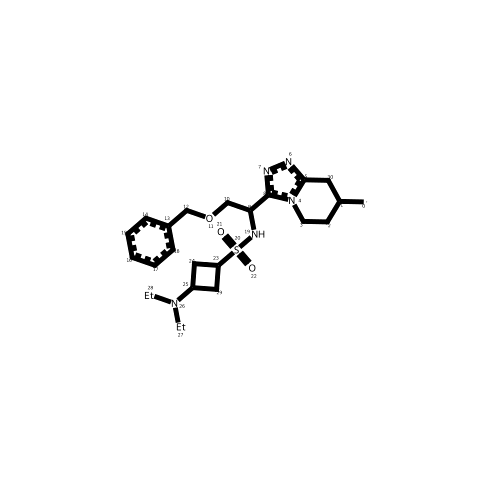 [CH2]C1CCn2c(nnc2C(COCc2ccccc2)NS(=O)(=O)C2CC(N(CC)CC)C2)C1